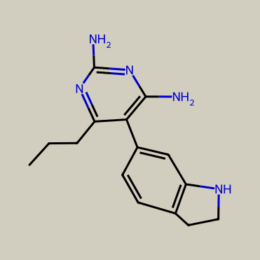 CCCc1nc(N)nc(N)c1-c1ccc2c(c1)NCC2